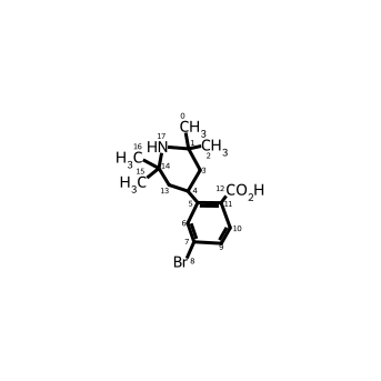 CC1(C)CC(c2cc(Br)ccc2C(=O)O)CC(C)(C)N1